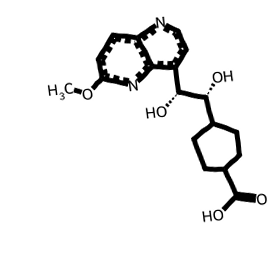 COc1ccc2nccc([C@@H](O)[C@H](O)C3CCC(C(=O)O)CC3)c2n1